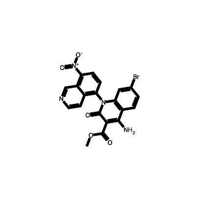 COC(=O)c1c(N)c2ccc(Br)cc2n(-c2ccc([N+](=O)[O-])c3cnccc23)c1=O